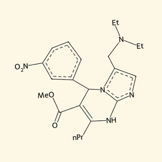 CCCC1=C(C(=O)OC)C(c2cccc([N+](=O)[O-])c2)n2c(CN(CC)CC)cnc2N1